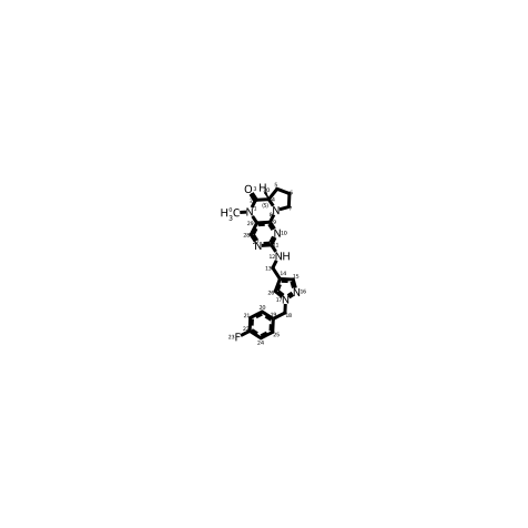 CN1C(=O)[C@@H]2CCCN2c2nc(NCc3cnn(Cc4ccc(F)cc4)c3)ncc21